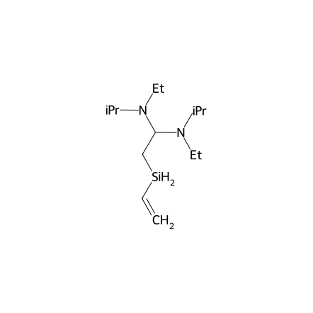 C=C[SiH2]CC(N(CC)C(C)C)N(CC)C(C)C